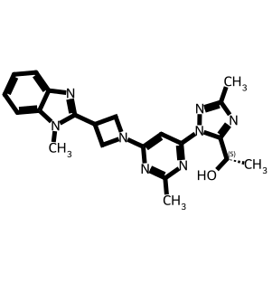 Cc1nc(N2CC(c3nc4ccccc4n3C)C2)cc(-n2nc(C)nc2[C@H](C)O)n1